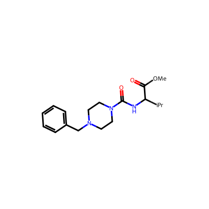 COC(=O)C(NC(=O)N1CCN(Cc2ccccc2)CC1)C(C)C